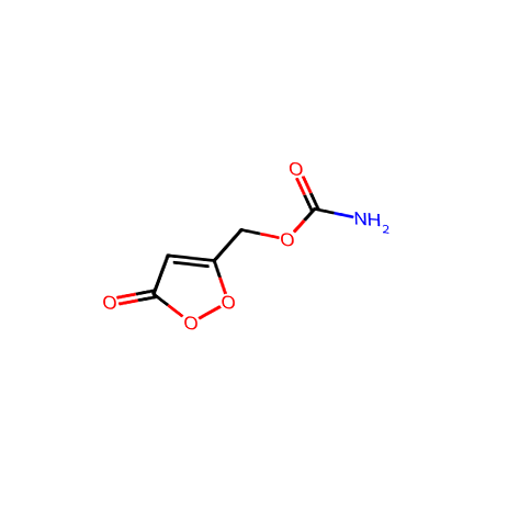 NC(=O)OCc1cc(=O)oo1